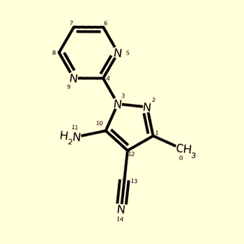 Cc1nn(-c2ncccn2)c(N)c1C#N